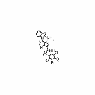 COc1c(Cl)c(NC(=O)c2csc3c(-n4c(N)nc5ccccc54)ncnc23)c(Cl)c(OC)c1Br